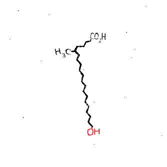 CC(CCCCCCCCCCCCCCCO)CCCCC(=O)O